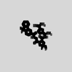 C[C@@H](NC(=O)C1C[C@](F)(CF)CN1C(=O)CNC(=O)c1ccc2c(c1)-c1ccccc1C2(F)F)C1CC=C(C(=N)N)C1